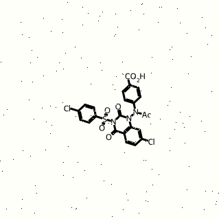 CC(=O)N(c1ccc(C(=O)O)cc1)n1c(=O)n(S(=O)(=O)c2ccc(Cl)cc2)c(=O)c2ccc(Cl)cc21